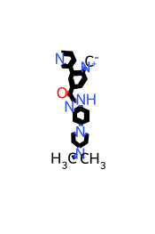 [C-]#[N+]c1ccc(C(=O)c2nc3cc(N4CCC(N(C)C)CC4)ccc3[nH]2)cc1-c1cccnc1